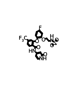 CS(=O)(=O)NCCOc1cc(F)ccc1Oc1cc(C(F)(F)F)ccc1C(=O)Nc1cc[nH]c(=O)c1